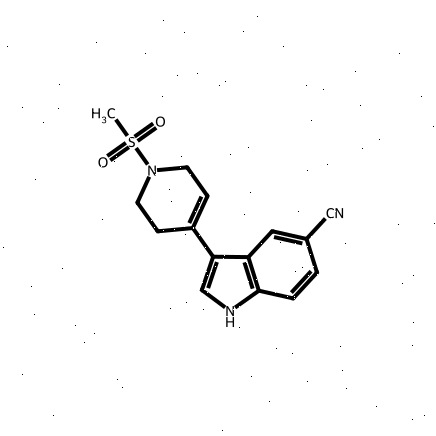 CS(=O)(=O)N1CC=C(c2c[nH]c3ccc(C#N)cc23)CC1